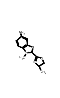 CC1CSC(C2Sc3cc(N)ccc3N2C)=N1